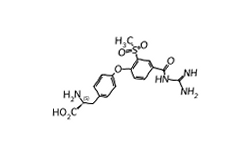 CS(=O)(=O)c1cc(C(=O)NC(=N)N)ccc1Oc1ccc(C[C@H](N)C(=O)O)cc1